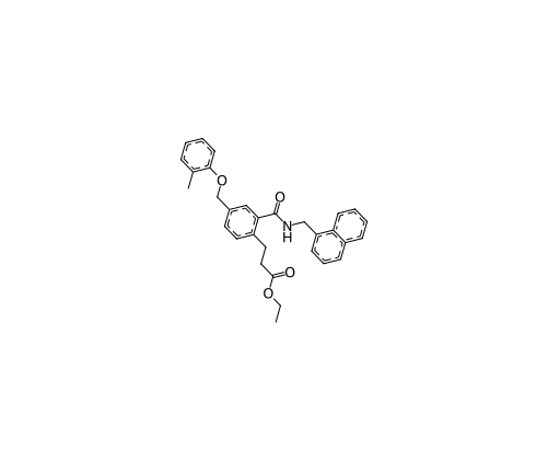 CCOC(=O)CCc1ccc(COc2ccccc2C)cc1C(=O)NCc1cccc2ccccc12